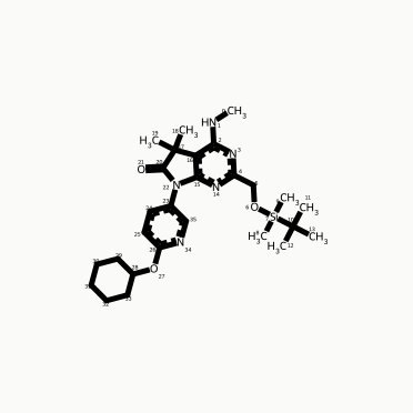 CNc1nc(CO[Si](C)(C)C(C)(C)C)nc2c1C(C)(C)C(=O)N2c1ccc(OC2CCCCC2)nc1